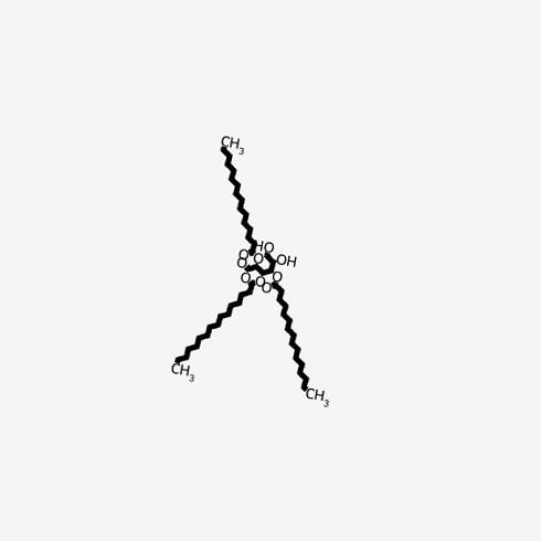 CCCCCCCCCCCCCCCC(=O)O[C@@H]([C@H](OC(=O)CCCCCCCCCCCCCCC)[C@H](C=O)OC(=O)CCCCCCCCCCCCCCC)[C@H](O)CO